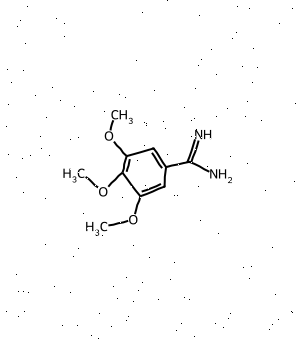 COc1cc(C(=N)N)cc(OC)c1OC